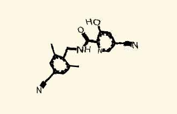 Cc1cc(C#N)cc(C)c1CNC(=O)c1ncc(C#N)cc1O